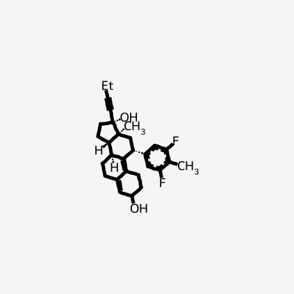 CCC#C[C@]1(O)CC[C@H]2[C@@H]3CCC4=CC(O)CCC4=C3[C@@H](c3cc(F)c(C)c(F)c3)C[C@@]21C